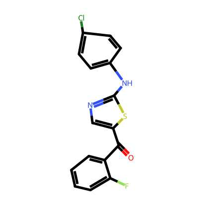 O=C(c1cnc(Nc2ccc(Cl)cc2)s1)c1ccccc1F